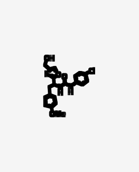 COc1ccc(CC(NC(=O)Nc2ccc(Cl)cc2)c2nc(CO)co2)cc1